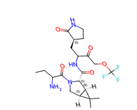 CCC(N)C(=O)N1C[C@H]2[C@@H]([C@H]1C(=O)NC(C[C@@H]1CCNC1=O)C(=O)COC(F)(F)F)C2(C)C